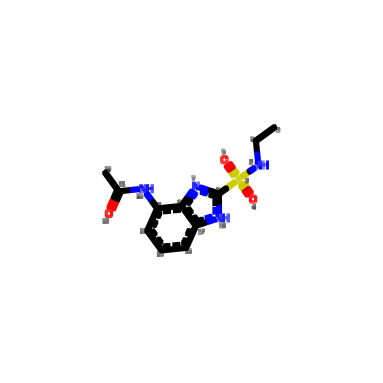 CCNS(=O)(=O)c1nc2c(NC(C)=O)cccc2[nH]1